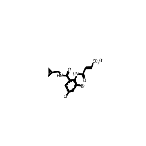 CCOC(=O)C=CC(=O)Nc1c(Br)cc(Cl)cc1C(=O)NCC1CC1